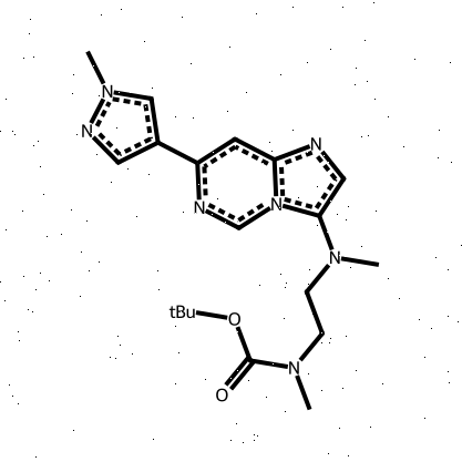 CN(CCN(C)c1cnc2cc(-c3cnn(C)c3)ncn12)C(=O)OC(C)(C)C